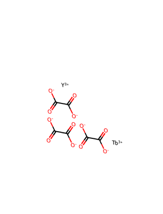 O=C([O-])C(=O)[O-].O=C([O-])C(=O)[O-].O=C([O-])C(=O)[O-].[Tb+3].[Y+3]